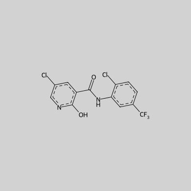 O=C(Nc1cc(C(F)(F)F)ccc1Cl)c1cc(Cl)cnc1O